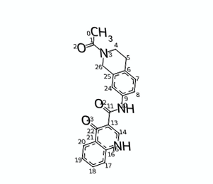 CC(=O)N1CCc2ccc(NC(=O)c3c[nH]c4ccccc4c3=O)cc2C1